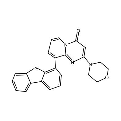 O=c1cc(N2CCOCC2)nc2c(-c3cccc4c3sc3ccccc34)cccn12